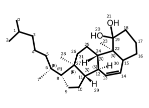 CC(C)CCC[C@@H](C)[C@H]1CC[C@H]2[C@@H]3C=CC4CCCC(O)(O)[C@]4(C)[C@H]3CC[C@]12C